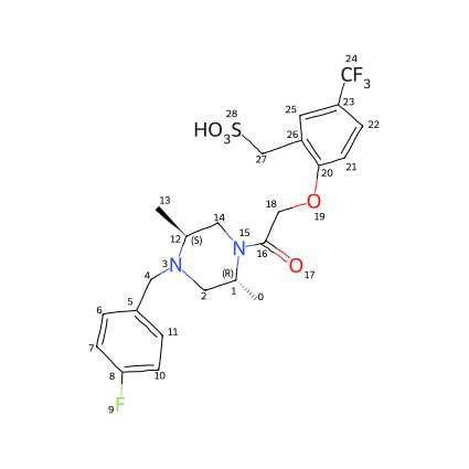 C[C@@H]1CN(Cc2ccc(F)cc2)[C@@H](C)CN1C(=O)COc1ccc(C(F)(F)F)cc1CS(=O)(=O)O